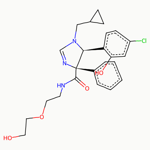 O=C(NCCOCCO)[C@]1(c2ccccc2)N=CN(CC2CC2)[C@H]1c1ccc(Cl)cc1O